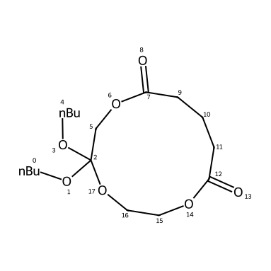 CCCCOC1(OCCCC)COC(=O)CCCC(=O)OCCO1